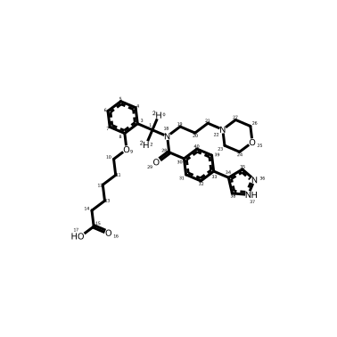 [2H]C([2H])(c1ccccc1OCCCCCC(=O)O)N(CCCN1CCOCC1)C(=O)c1ccc(-c2cn[nH]c2)cc1